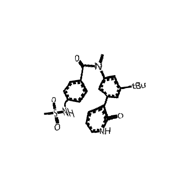 CN(C(=O)c1ccc(NS(C)(=O)=O)cc1)c1cc(-c2ccc[nH]c2=O)cc(C(C)(C)C)c1